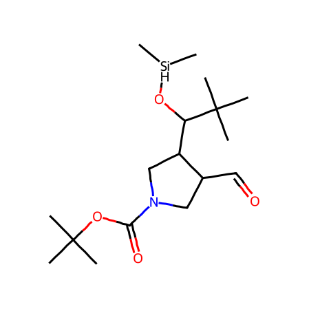 C[SiH](C)OC(C1CN(C(=O)OC(C)(C)C)CC1C=O)C(C)(C)C